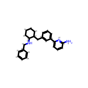 Nc1cccc(-c2cccc(CC3CCCCC3NCc3ccccc3)c2)n1